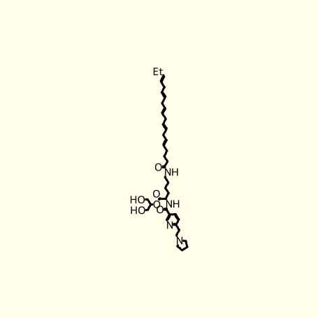 CCC=CCC=CCC=CCC=CCC=CCCCC(=O)NCCCCC(NC(=O)c1ccc(CCN2CCCC2)nc1)C(=O)OC(CO)CO